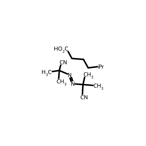 CC(C)(C#N)N=NC(C)(C)C#N.CC(C)CCCC(=O)O